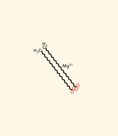 CCCCCCCCCCCCCCCCCCCCCCCCCC(=O)[O-].CCCCCCCCCCCCCCCCCCCCCCCCCC(=O)[O-].[Mg+2]